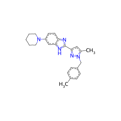 Cc1ccc(Cn2nc(-c3nc4ccc(N5CCCCC5)cc4[nH]3)cc2C)cc1